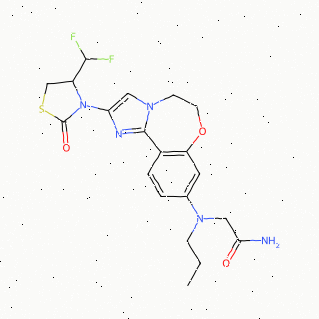 CCCN(CC(N)=O)c1ccc2c(c1)OCCn1cc(N3C(=O)SCC3C(F)F)nc1-2